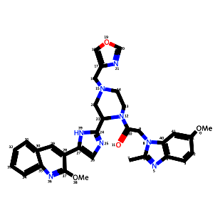 COc1ccc2nc(C)n(CC(=O)N3CCN(Cc4cocn4)CC3c3ncc(-c4cc5ccccc5nc4OC)[nH]3)c2c1